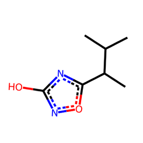 CC(C)C(C)c1nc(O)no1